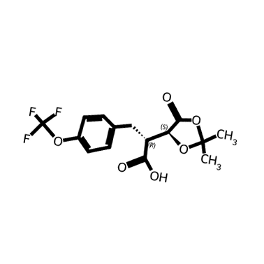 CC1(C)OC(=O)[C@H]([C@@H](Cc2ccc(OC(F)(F)F)cc2)C(=O)O)O1